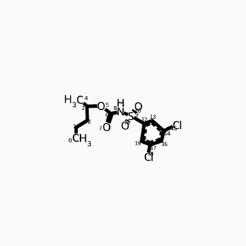 CCCC(C)OC(=O)NS(=O)(=O)c1cc(Cl)cc(Cl)c1